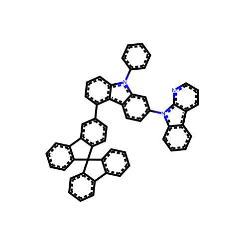 c1ccc(-n2c3cc(-n4c5ccccc5c5cccnc54)ccc3c3c(-c4ccc5c(c4)-c4ccccc4C54c5ccccc5-c5ccccc54)cccc32)cc1